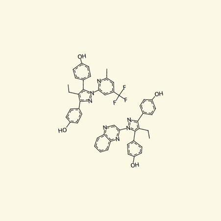 CCc1c(-c2ccc(O)cc2)nn(-c2cc(C(F)(F)F)cc(C)n2)c1-c1ccc(O)cc1.CCc1c(-c2ccc(O)cc2)nn(-c2cnc3ccccc3n2)c1-c1ccc(O)cc1